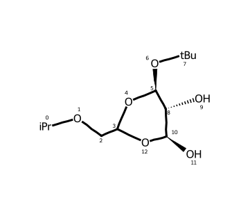 CC(C)OCC1O[C@@H](OC(C)(C)C)[C@H](O)[C@@H](O)O1